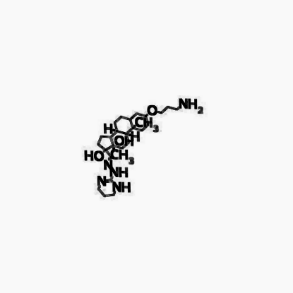 C[C@]12CCC(OCCCN)CC1CC[C@@H]1[C@H]2CC[C@]2(C)C(O)(/C=N/NC3=NCCCN3)CC[C@@]12O